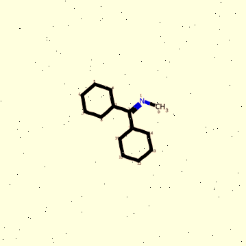 CN=C(C1CCCCC1)C1CCCCC1